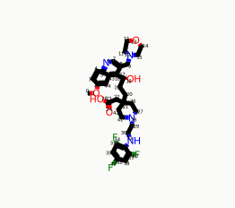 COc1ccc2ncc(CN3CCOCC3)c([C@@H](O)CCC3(CC(=O)O)CCN(CCNc4c(F)cc(F)cc4F)CC3)c2c1